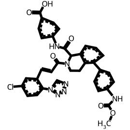 COC(=O)Nc1ccc(-c2cccc3c2CCN(C(=O)C=Cc2cc(Cl)ccc2-n2cnnn2)C3C(=O)Nc2ccc(C(=O)O)cc2)cc1